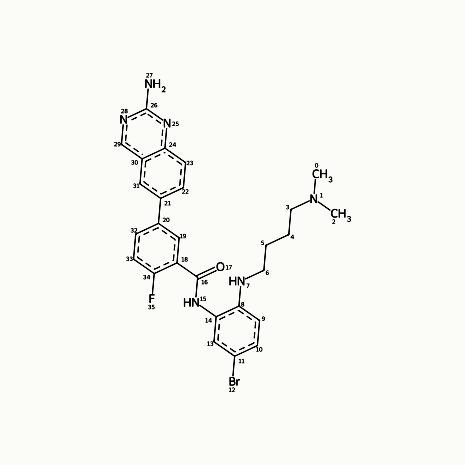 CN(C)CCCCNc1ccc(Br)cc1NC(=O)c1cc(-c2ccc3nc(N)ncc3c2)ccc1F